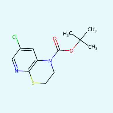 CC(C)(C)OC(=O)N1CCSc2ncc(Cl)cc21